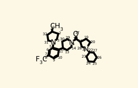 CC1CCN(c2cc(C(F)(F)F)ccc2C2CCN(C(=O)C3CCN(C4CCCCC4)C3)CC2)CC1